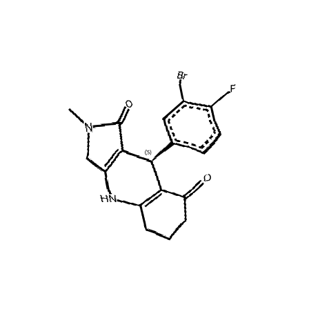 CN1CC2=C(C1=O)[C@@H](c1ccc(F)c(Br)c1)C1=C(CCCC1=O)N2